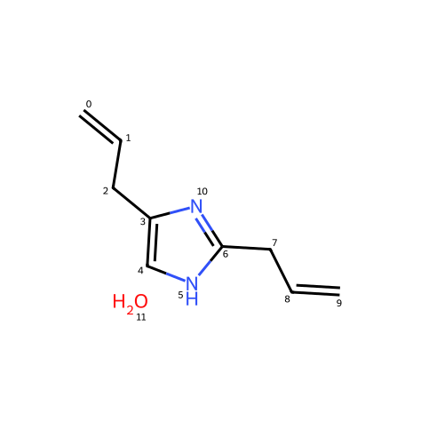 C=CCc1c[nH]c(CC=C)n1.O